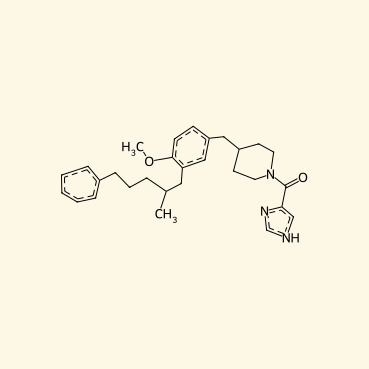 COc1ccc(CC2CCN(C(=O)c3c[nH]cn3)CC2)cc1CC(C)CCCc1ccccc1